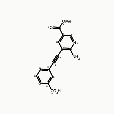 COC(=O)c1cnc(N)c(C#Cc2cccc(C(=O)O)c2)c1